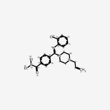 C=CCN1CCN(/C(=N\c2ccccc2Cl)c2ccc(C(=O)N(CC)CC)cc2)CC1